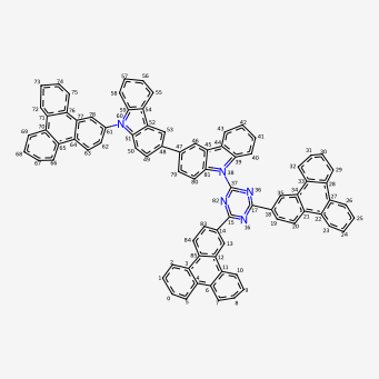 c1ccc2c(c1)c1ccccc1c1cc(-c3nc(-c4ccc5c6ccccc6c6ccccc6c5c4)nc(-n4c5ccccc5c5cc(-c6ccc7c(c6)c6ccccc6n7-c6ccc7c8ccccc8c8ccccc8c7c6)ccc54)n3)ccc21